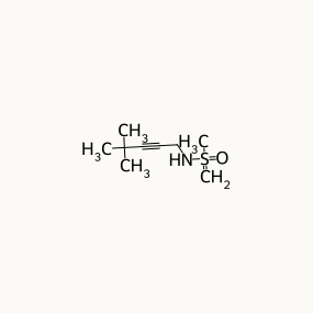 C=S(C)(=O)NCC#CC(C)(C)C